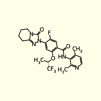 Cc1ccnc(C)c1NC(=O)c1cc(F)c(-n2nc3n(c2=O)CCCC3)cc1O[C@@H](C)C(F)(F)F